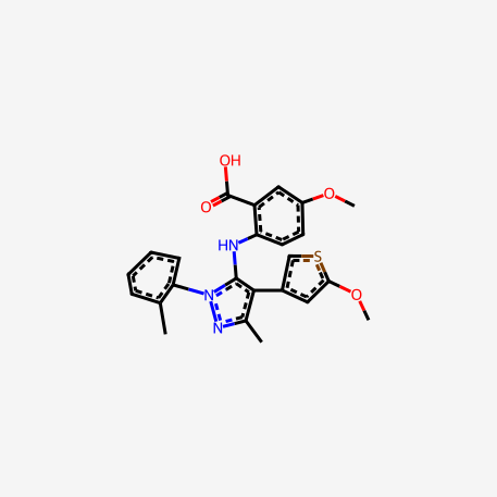 COc1ccc(Nc2c(-c3csc(OC)c3)c(C)nn2-c2ccccc2C)c(C(=O)O)c1